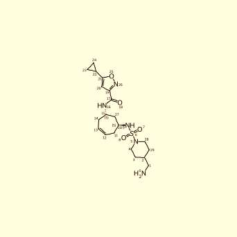 NCC1CCN(S(=O)(=O)N[C@H]2CC=CC[C@H](NC(=O)c3cc(C4CC4)on3)C2)CC1